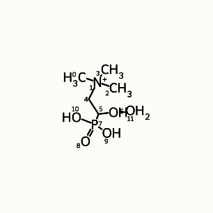 C[N+](C)(C)CC(O)P(=O)(O)O.O